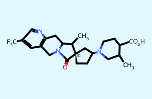 CC1CN(C2CC[C@@]3(C2)C(=O)N2Cc4cc(C(F)(F)F)cnc4CC2C3C)CCC1C(=O)O